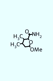 COC1CC(C)C(C)C(C(N)=O)O1